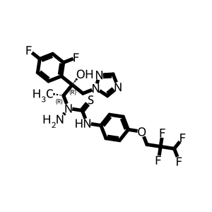 C[C@@H](N(N)C(=S)Nc1ccc(OCC(F)(F)C(F)F)cc1)[C@](O)(Cn1cncn1)c1ccc(F)cc1F